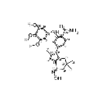 COc1cc(Nc2cc(-n3c(C)cc4c3CC(C)(C)CC4=NO)ccc2C(N)=O)cc(OC)c1OC